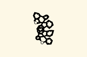 c1ccc2c(c1)Oc1cccc(-c3ccc4c(c3)-c3ccccc3C43c4ccccc4-c4cccc5cccc3c45)c1C21c2ccccc2-c2ccccc21